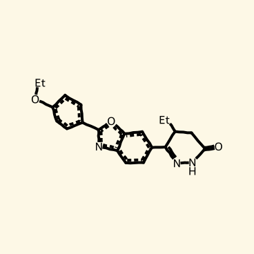 CCOc1ccc(-c2nc3ccc(C4=NNC(=O)CC4CC)cc3o2)cc1